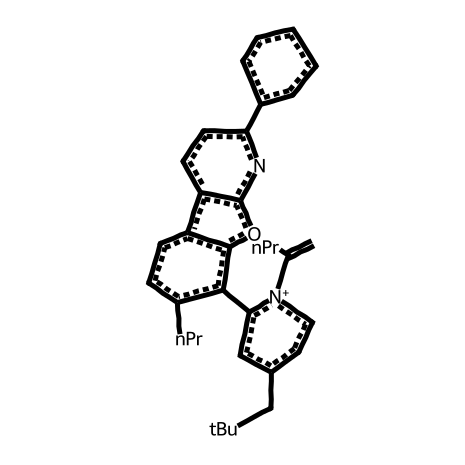 C=C(CCC)[n+]1ccc(CC(C)(C)C)cc1-c1c(CCC)ccc2c1oc1nc(-c3ccccc3)ccc12